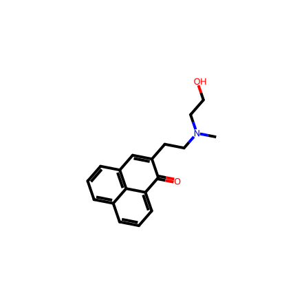 CN(CCO)CCC1=Cc2cccc3cccc(c23)C1=O